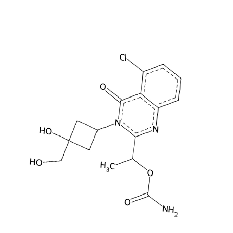 CC(OC(N)=O)c1nc2cccc(Cl)c2c(=O)n1C1CC(O)(CO)C1